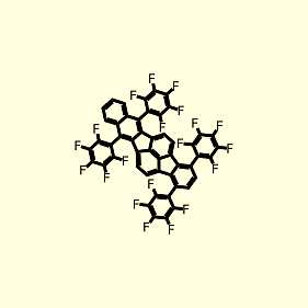 Fc1c(F)c(F)c(-c2ccc(-c3c(F)c(F)c(F)c(F)c3F)c3c2-c2ccc4c5c(ccc-3c25)-c2c-4c(-c3c(F)c(F)c(F)c(F)c3F)c3ccccc3c2-c2c(F)c(F)c(F)c(F)c2F)c(F)c1F